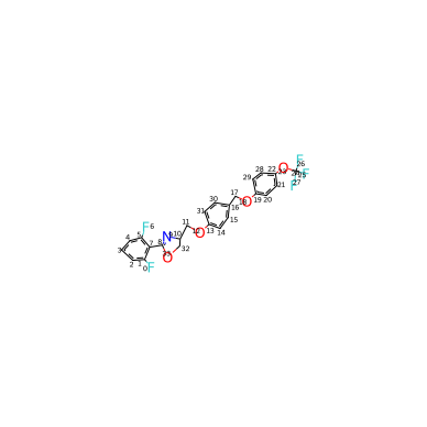 Fc1cccc(F)c1C1=NC(COc2ccc(COc3ccc(OC(F)(F)F)cc3)cc2)CO1